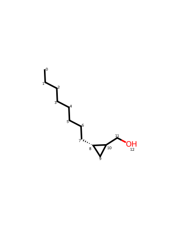 CCCCCCCC[C@H]1CC1CO